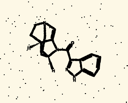 O=C(c1n[nH]c2ccccc12)N1C2=CN3CC[C@@H]2C[C@@H]1C3